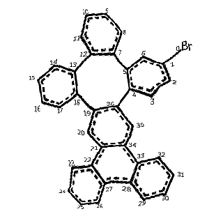 Brc1ccc2c(c1)-c1ccccc1-c1ccccc1-c1cc3c4ccccc4c4ccccc4c3cc1-2